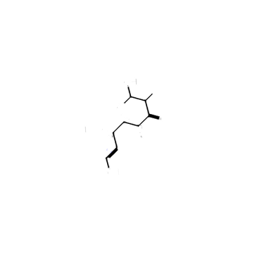 C/C=C/[C@H](C)[C@@H]1OC(O)C(C)C(=O)[C@@H]1C